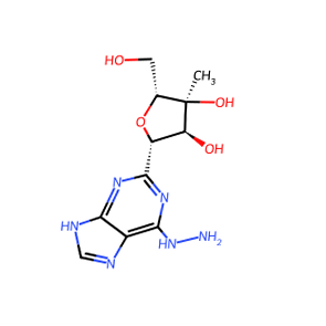 C[C@@]1(O)[C@@H](CO)O[C@@H](c2nc(NN)c3nc[nH]c3n2)[C@@H]1O